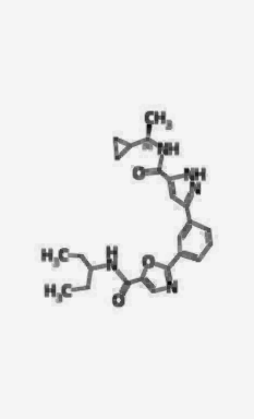 CCC(CC)NC(=O)c1cnc(-c2cccc(-c3cc(C(=O)N[C@H](C)C4CC4)[nH]n3)c2)o1